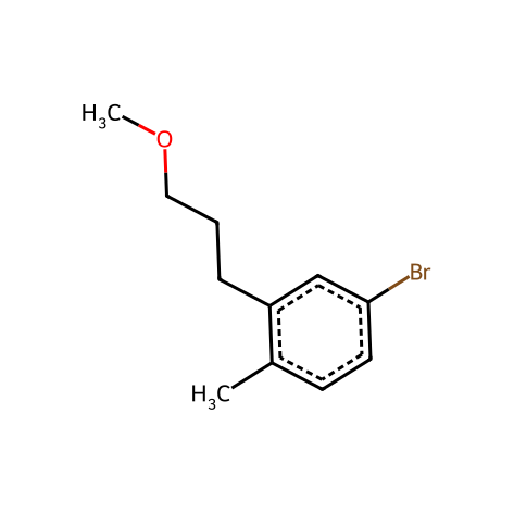 COCCCc1cc(Br)ccc1C